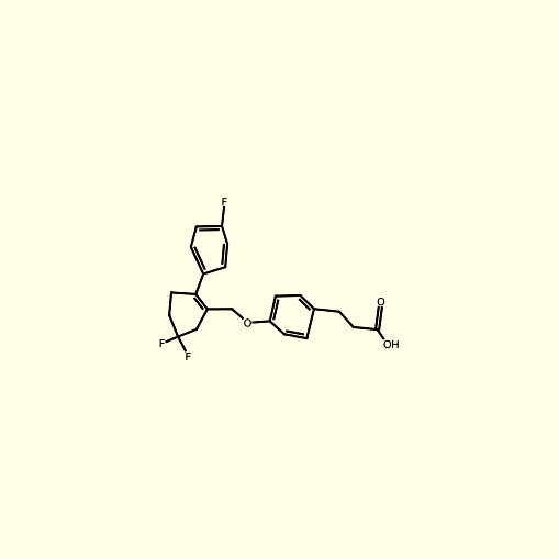 O=C(O)CCc1ccc(OCC2=C(c3ccc(F)cc3)CCC(F)(F)C2)cc1